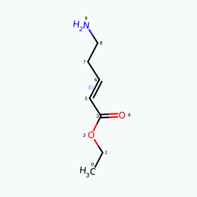 CCOC(=O)/C=C/CCN